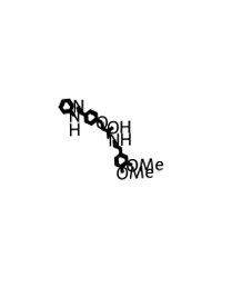 COc1ccc(CCNCC(O)COc2ccc(-c3nc4ccccc4[nH]3)cc2)cc1OC